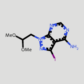 COC(Cn1nc(I)c2c(N)ncnc21)OC